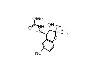 COC(=O)NN[C@@H]1c2cc(C#N)ccc2OC(C)(C)[C@H]1O